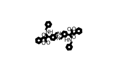 O=c1oc2ccccc2c2oc(NCc3ccccc3)c(-c3ccc4c(c3)CN3CN4Cc4cc(-c5c(NCc6ccccc6)oc6c5c(=O)oc5ccccc56)ccc43)c12